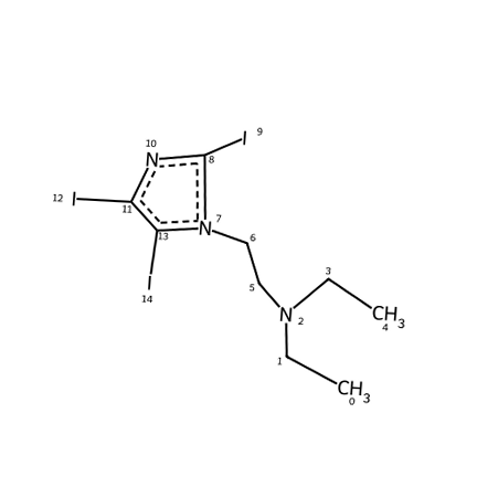 CCN(CC)CCn1c(I)nc(I)c1I